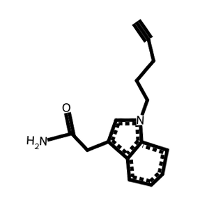 C#CCCCn1cc(CC(N)=O)c2ccccc21